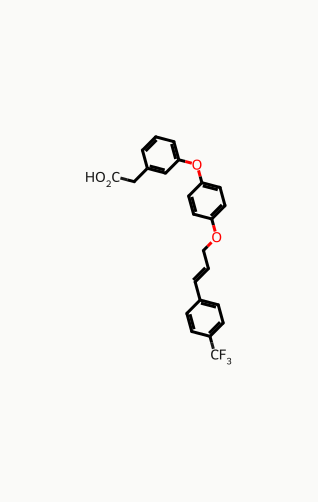 O=C(O)Cc1cccc(Oc2ccc(OCC=Cc3ccc(C(F)(F)F)cc3)cc2)c1